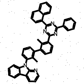 Cc1c(-c2nc(-c3ccccc3)nc(-c3cccc4ccccc34)n2)cccc1-c1cccc(-n2c3ccccc3c3cccnc32)c1C